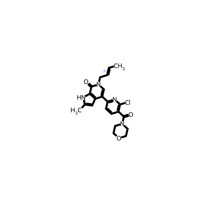 C/C=C/Cn1cc(-c2ccc(C(=O)N3CCOCC3)c(Cl)n2)c2cc(C)[nH]c2c1=O